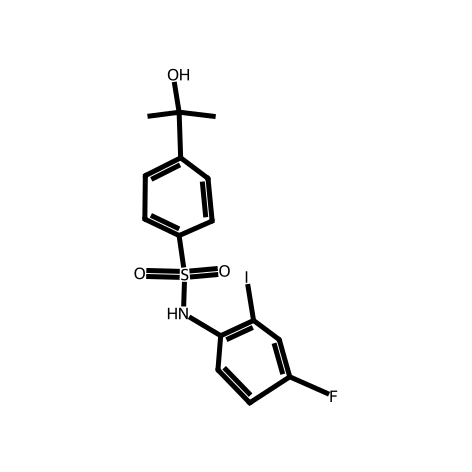 CC(C)(O)c1ccc(S(=O)(=O)Nc2ccc(F)cc2I)cc1